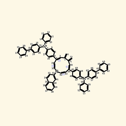 C=C1/C=C(c2ccc(N(c3ccccc3)c3ccc(-c4ccccc4)cc3)cc2)\C=C/N(c2ccc3ccccc3c2)/C=C\C(c2ccc(N(c3ccccc3)c3ccc(-c4ccccc4)cc3)cc2)=C/C1=C